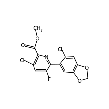 COC(=O)c1nc(-c2cc3c(cc2Cl)OCO3)c(F)cc1Cl